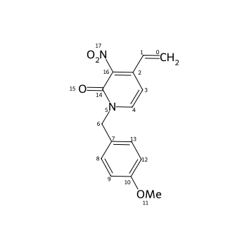 C=Cc1ccn(Cc2ccc(OC)cc2)c(=O)c1[N+](=O)[O-]